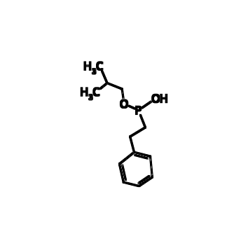 CC(C)COP(O)CCc1ccccc1